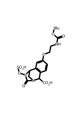 CC(C)(C)OC(=O)NCCOc1ccc2c(c1)C1CN(C(=O)N1OS(=O)(=O)O)C2C(=O)O